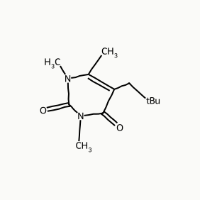 Cc1c(CC(C)(C)C)c(=O)n(C)c(=O)n1C